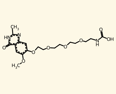 COc1cc2c(=O)[nH]c(C)nc2cc1OCCOCCOCCOCCNC(=O)O